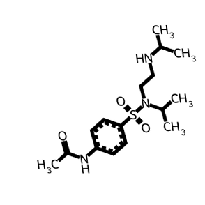 CC(=O)Nc1ccc(S(=O)(=O)N(CCNC(C)C)C(C)C)cc1